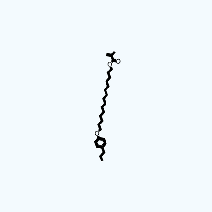 C=C(C)C(=O)OCCCCCCCCCCCCCCCOc1ccc(CCC)cc1